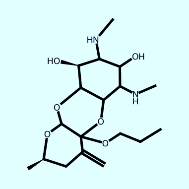 C=C1C[C@@H](C)OC2OC3C(OC12OCCC)C(NC)C(O)C(NC)[C@@H]3O